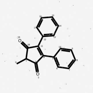 CC1C(=O)C(c2ccccc2)=C(c2ccccc2)C1=O